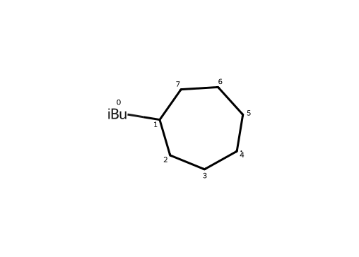 CCC(C)C1CC[CH]CCC1